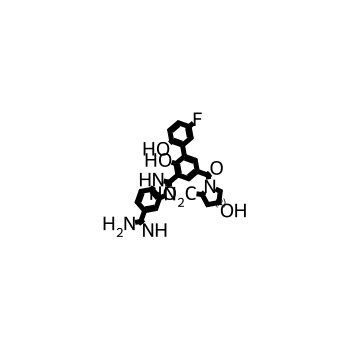 N=C(N)c1ccc2[nH]c(-c3cc(C(=O)N4C[C@H](O)CC4C(=O)O)cc(-c4cc(F)ccc4O)c3O)nc2c1